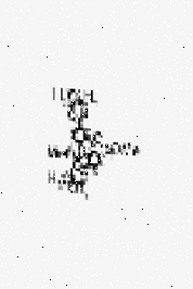 COCOc1ccc(C2OCC(C)(C)CO2)cc1C(=O)c1cc(C2OCC(C)(C)CO2)ccc1OCOC